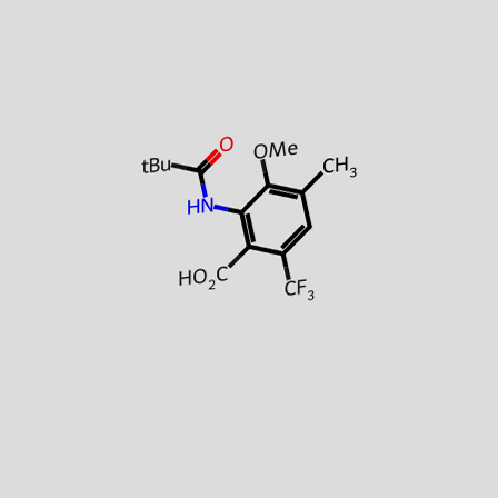 COc1c(C)cc(C(F)(F)F)c(C(=O)O)c1NC(=O)C(C)(C)C